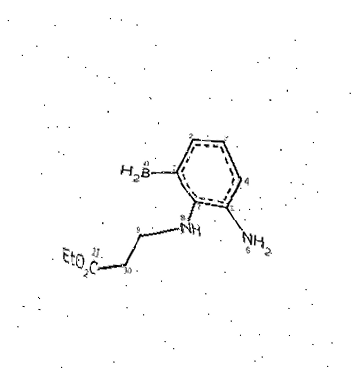 Bc1cccc(N)c1NCCC(=O)OCC